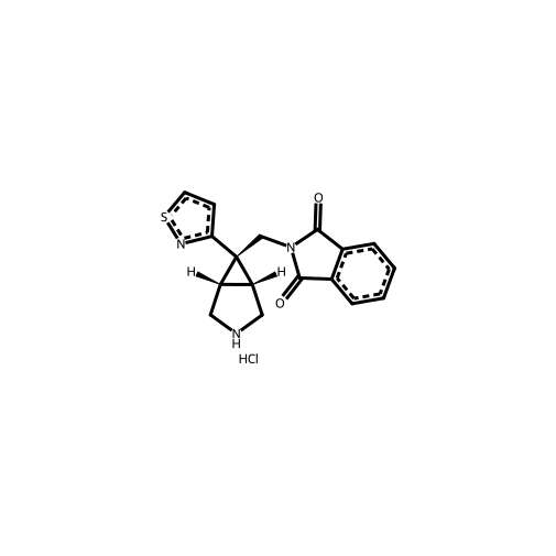 Cl.O=C1c2ccccc2C(=O)N1C[C@@]1(c2ccsn2)[C@@H]2CNC[C@@H]21